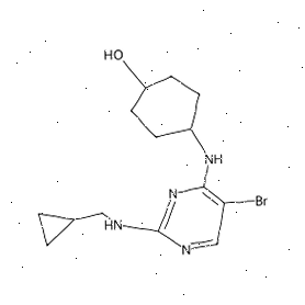 OC1CCC(Nc2nc(NCC3CC3)ncc2Br)CC1